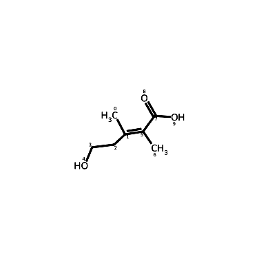 C/C(CCO)=C(/C)C(=O)O